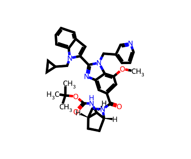 COc1cc(C(=O)N2C[C@H]3CC[C@@H]2[C@@H]3NC(=O)OC(C)(C)C)cc2nc(-c3cc4ccccc4n3CC3CC3)n(Cc3cccnc3)c12